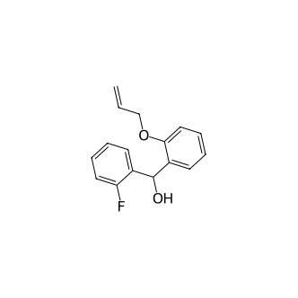 C=CCOc1ccccc1C(O)c1ccccc1F